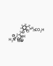 CC(C)(C)OC(=O)NC(CCC(N)=O)COc1cccc(CCCCC(=O)O)c1Cl